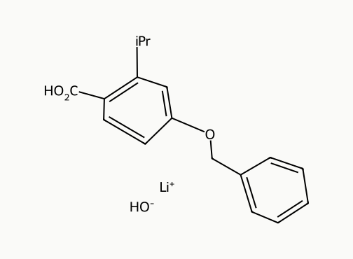 CC(C)c1cc(OCc2ccccc2)ccc1C(=O)O.[Li+].[OH-]